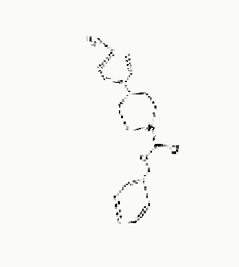 Nc1ccc(C2CCN(C(=O)OCc3ccccc3)CC2)cc1